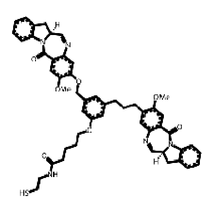 COc1cc2c(cc1CCCc1cc(COc3cc4c(cc3OC)C(=O)N3c5ccccc5C[C@H]3C=N4)cc(OCCCCC(=O)NCCS)c1)N=C[C@@H]1Cc3ccccc3N1C2=O